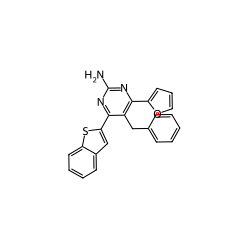 Nc1nc(-c2ccco2)c(Cc2ccccc2)c(-c2cc3ccccc3s2)n1